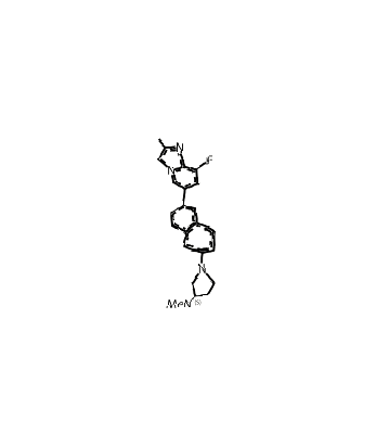 CN[C@H]1CCN(c2ccc3cc(-c4cc(F)c5nc(C)cn5c4)ccc3c2)C1